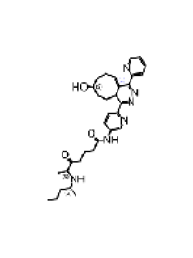 CCC[C@H](C)N[C@@H](C)C(=O)CCCC(=O)Nc1ccc(C2=NN=C(c3ccccn3)/C3=C/CC[C@H](O)CCC23)nc1